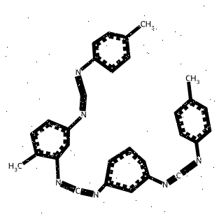 Cc1ccc(N=C=Nc2cccc(N=C=Nc3cc(N=C=Nc4ccc(C)cc4)ccc3C)c2)cc1